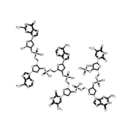 CC[C@H]1O[C@@H](n2cnc3c(=O)[nH]c(N)nc32)CC1OP(=O)(S)OC[C@H]1O[C@@H](n2cnc3c(N)ncnc32)CC1OP(=O)(S)OC[C@H]1O[C@@H](n2cnc3c(N)ncnc32)CC1OP(=O)(S)OC[C@H]1O[C@@H](n2cc(C)c(=O)[nH]c2=O)CC1OP(=O)(S)OC[C@H]1O[C@@H](n2cnc3c(=O)[nH]c(N)nc32)CC1OP(=O)(S)OC[C@H]1O[C@@H](n2cc(C)c(=O)[nH]c2=O)CC1OP(=O)(S)OC